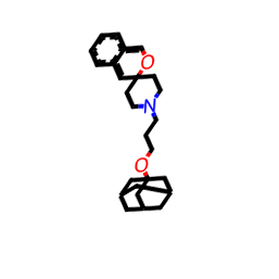 C1=c2ccccc2=CC2(CCN(CCCOC34CC5CC(CC(C5)C3)C4)CC2)O1